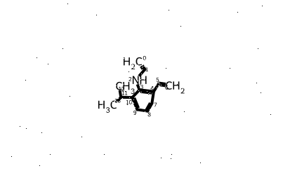 C=CNc1c(C=C)cccc1C(C)C